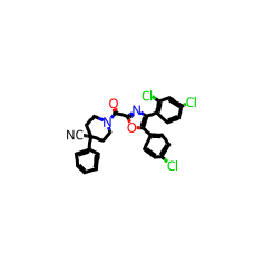 N#CC1(c2ccccc2)CCN(C(=O)c2nc(-c3ccc(Cl)cc3Cl)c(-c3ccc(Cl)cc3)o2)CC1